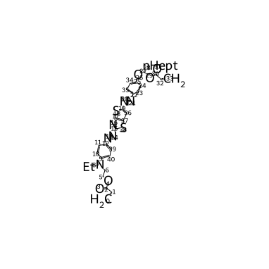 C=CC(=O)OCCN(CC)c1ccc(/N=N/c2nc3sc(/N=N/c4ccc(OC(CCCCCCC)OC(=O)C=C)cc4)cc3s2)cc1